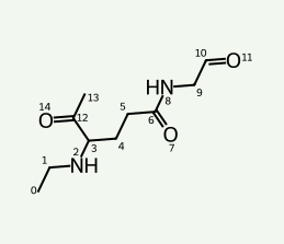 CCNC(CCC(=O)NCC=O)C(C)=O